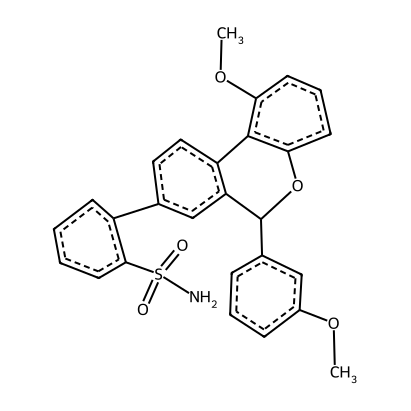 COc1cccc(C2Oc3cccc(OC)c3-c3ccc(-c4ccccc4S(N)(=O)=O)cc32)c1